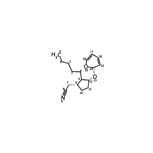 CCCCCC1[C@@H](CC#N)CC[C@H]1O[C@H]1C=CC=CO1